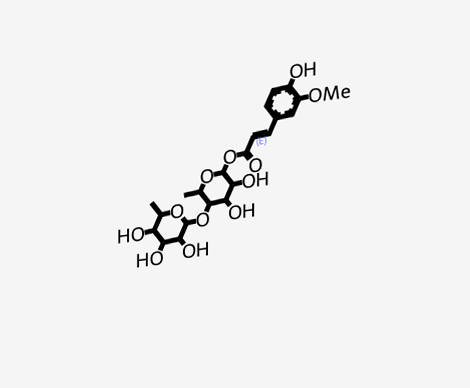 COc1cc(/C=C/C(=O)OC2OC(C)C(OC3OC(C)C(O)C(O)C3O)C(O)C2O)ccc1O